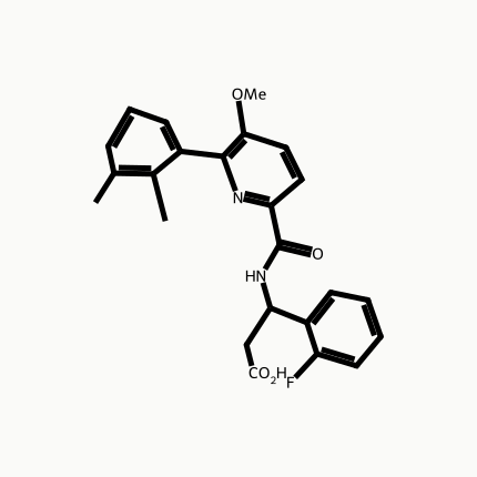 COc1ccc(C(=O)NC(CC(=O)O)c2ccccc2F)nc1-c1cccc(C)c1C